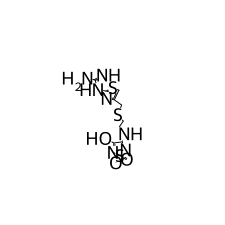 N=C(N)Nc1nc(CSCCNC2=NS(=O)(=O)N=C2O)cs1